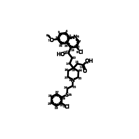 COc1ccc2ncc(Cl)c([C@@H](O)CCC3(CC(=O)O)CCN(CCSc4ccccc4Cl)CC3)c2c1